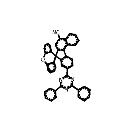 N#Cc1cc2c(c3ccccc13)-c1ccc(-c3nc(-c4ccccc4)nc(-c4ccccc4)n3)cc1C21c2ccccc2Oc2ccccc21